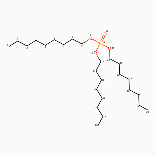 CCCCCCCCCOP(=O)(OCCCCCCCC)OCCCCCCCC